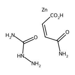 NC(=O)/C=C\C(=O)O.NNC(N)=O.[Zn]